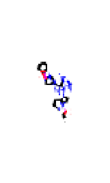 C=CC(=O)N1CCCC2=C1CCC2n1nc(-c2ccc(Oc3ccccc3)cc2)c2c(N)ncnc21